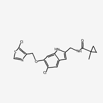 CC1(C(=O)NCc2cc3cc(Cl)c(OCc4ncsc4Cl)cc3[nH]2)CC1